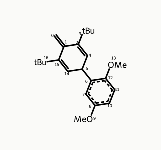 C=C1C(C(C)(C)C)=CC(c2cc(OC)ccc2OC)C=C1C(C)(C)C